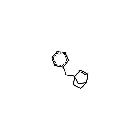 C1=CC2(Cc3ccccc3)CCC1C2